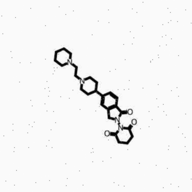 O=C1c2ccc(C3CCN(CCN4CCCCC4)CC3)cc2CN1N1C(=O)CCCC1=O